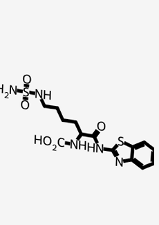 NS(=O)(=O)NCCCCC(NC(=O)O)C(=O)Nc1nc2ccccc2s1